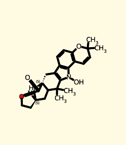 CC1(C)C=Cc2c(ccc3c4c(n(O)c23)C(C)(C)C2C[C@]35CCCN3C(=O)[C@@]2(C4)NC5=O)O1